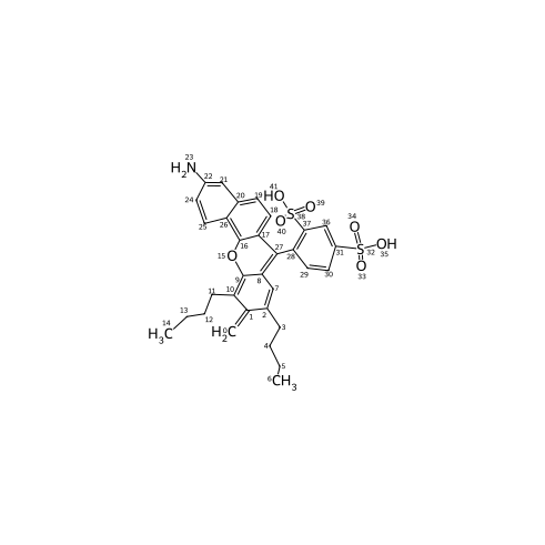 C=c1c(CCCC)cc2c(c1CCCC)Oc1c(ccc3cc(N)ccc13)C=2c1ccc(S(=O)(=O)O)cc1S(=O)(=O)O